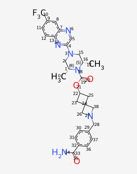 C[C@@H]1CN(c2cnc3cc(C(F)(F)F)ccc3n2)C[C@H](C)N1C(=O)OC1CC2(C1)CN(Cc1ccc(C(N)=O)cc1)C2